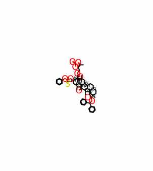 Cc1oc(=O)oc1COC(=O)[C@]1(C)[C@@H](OC(=S)Oc2ccccc2)CC[C@@]2(C)[C@H]1CC[C@]1(C)[C@@H]2C(=O)C=C2[C@@H]3C[C@@](C)(C(=O)OC(c4ccccc4)c4ccccc4)CC[C@]3(C)CC[C@]21C